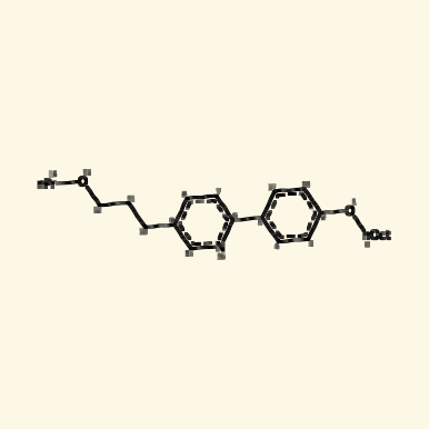 CCCCCCCCOc1ccc(-c2ccc(CCCOCCC)cn2)cc1